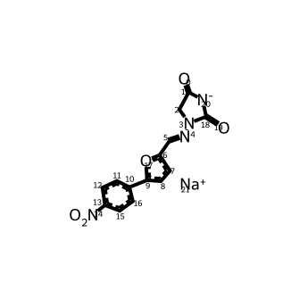 O=C1CN(N=Cc2ccc(-c3ccc([N+](=O)[O-])cc3)o2)C(=O)[N-]1.[Na+]